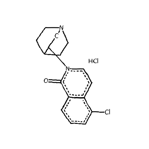 Cl.O=c1c2cccc(Cl)c2ccn1C1CN2CCC1CC2